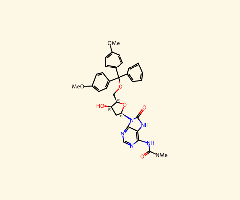 CNC(=O)Nc1ncnc2c1[nH]c(=O)n2[C@H]1C[C@@H](O)[C@@H](COC(c2ccccc2)(c2ccc(OC)cc2)c2ccc(OC)cc2)O1